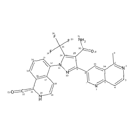 Cc1nccc2ncc(-c3nn(-c4cccc5c4C=CNC5=C=O)c(C(F)(F)F)c3C(N)=O)cc12